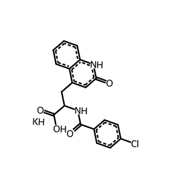 O=C(NC(Cc1cc(=O)[nH]c2ccccc12)C(=O)O)c1ccc(Cl)cc1.[KH]